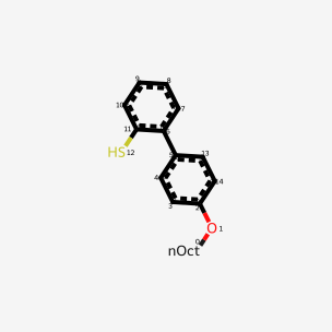 CCCCCCCCOc1ccc(-c2ccccc2S)cc1